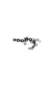 CC1CN(C(=O)C2CC(O)C2)CC[C@@H]1Oc1ccc(-c2ncnc(Nc3ccc(N4CCN(C5COC5)CC4)cc3)n2)cc1C#N